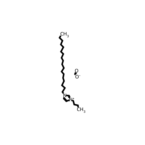 CCCCCCCCCCCCCCCCCCn1cc[n+](CCCC)c1.O=C[O-]